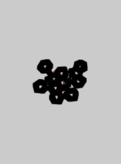 c1ccc(-c2ccc(-c3c(N(c4ccccc4-c4cccc5c4sc4ccccc45)c4cccc5c4sc4ccccc45)c4ccccc4c4ccccc34)cc2)cc1